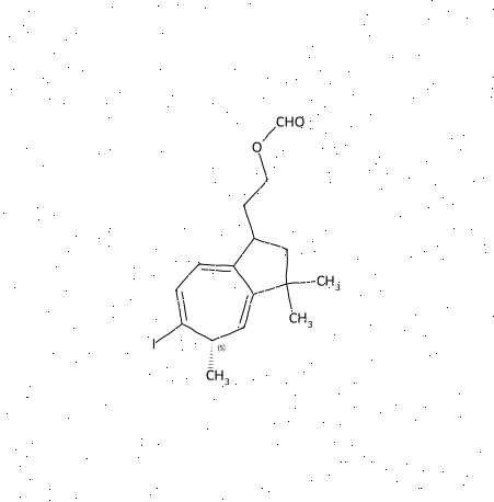 C[C@H]1C=C2C(=CC=C1I)C(CCOC=O)CC2(C)C